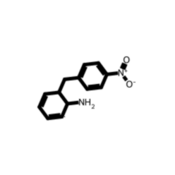 NC1[C]=CC=CC1Cc1ccc([N+](=O)[O-])cc1